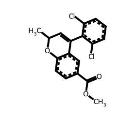 COC(=O)c1ccc2c(c1)C(c1c(Cl)cccc1Cl)=CC(C)O2